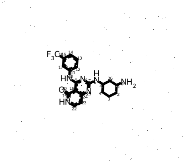 NC1CCCC(Nc2nc(Nc3cccc(C(F)(F)F)c3)c3c(=O)[nH]ccc3n2)C1